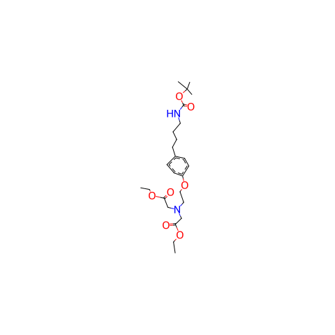 CCOC(=O)CN(CCOc1ccc(CCCCNC(=O)OC(C)(C)C)cc1)CC(=O)OCC